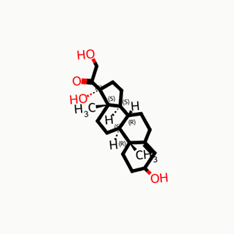 C[C@]12CCC(O)C=C1CC[C@@H]1[C@@H]2CC[C@@]2(C)[C@H]1CC[C@]2(O)C(=O)CO